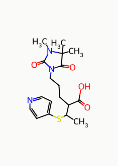 CC(Sc1ccncc1)C(CCCN1C(=O)N(C)C(C)(C)C1=O)C(=O)O